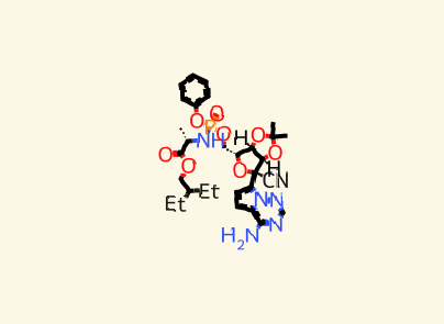 CCC(CC)COC(=O)[C@H](C)NP(=O)(OC[C@H]1O[C@@](C#N)(c2ccc3c(N)ncnn23)[C@@H]2OC(C)(C)O[C@@H]21)Oc1ccccc1